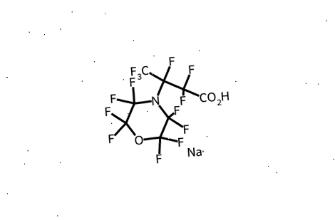 O=C(O)C(F)(F)C(F)(N1C(F)(F)C(F)(F)OC(F)(F)C1(F)F)C(F)(F)F.[Na]